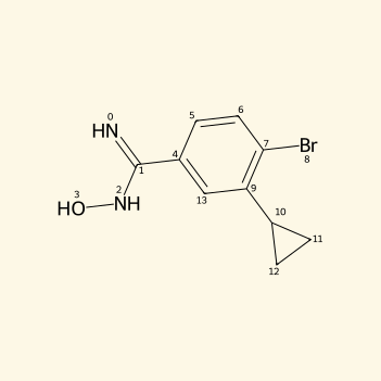 N=C(NO)c1ccc(Br)c(C2CC2)c1